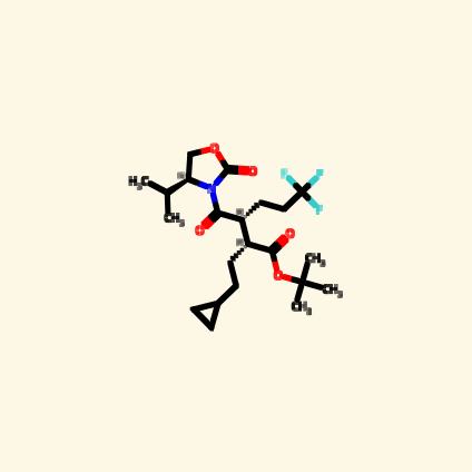 CC(C)[C@H]1COC(=O)N1C(=O)[C@H](CCC(F)(F)F)[C@@H](CCC1CC1)C(=O)OC(C)(C)C